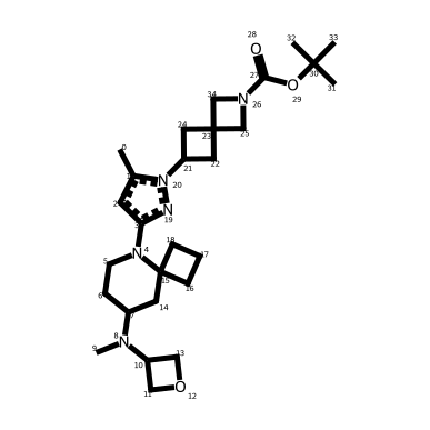 Cc1cc(N2CCC(N(C)C3COC3)CC23CCC3)nn1C1CC2(C1)CN(C(=O)OC(C)(C)C)C2